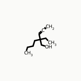 C=C=CC(CC)(CO)CCCC